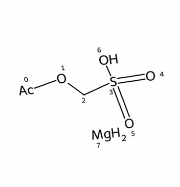 CC(=O)OCS(=O)(=O)O.[MgH2]